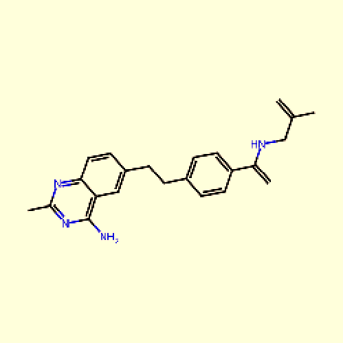 C=C(C)CNC(=C)c1ccc(CCc2ccc3nc(C)nc(N)c3c2)cc1